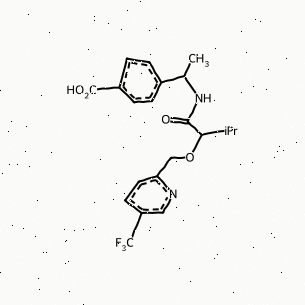 CC(NC(=O)C(OCc1ccc(C(F)(F)F)cn1)C(C)C)c1ccc(C(=O)O)cc1